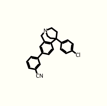 N#Cc1cccc(-c2ccc3c(c2)CN2CCC3(c3ccc(Cl)cc3)CC2)c1